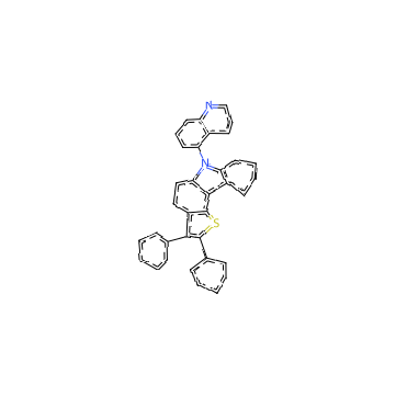 c1ccc(-c2sc3c(ccc4c3c3ccccc3n4-c3cccc4ncccc34)c2-c2ccccc2)cc1